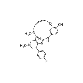 CN1Cc2c(nc3nc2N(C)CC=C=CCOc2cc(ccc2C#N)N3)C(c2ccc(F)cc2)C1